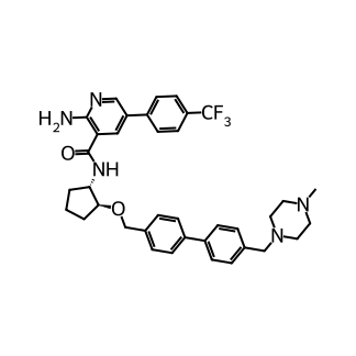 CN1CCN(Cc2ccc(-c3ccc(CO[C@H]4CCC[C@@H]4NC(=O)c4cc(-c5ccc(C(F)(F)F)cc5)cnc4N)cc3)cc2)CC1